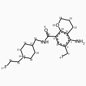 Nc1c(CI)cc(C(=O)NCC2CCN(CCF)CC2)c2c1CCCO2